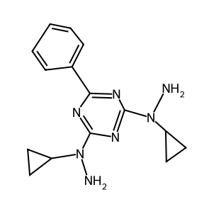 NN(c1nc(-c2ccccc2)nc(N(N)C2CC2)n1)C1CC1